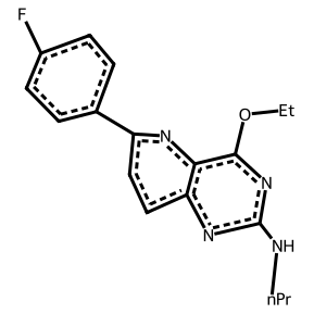 CCCNc1nc(OCC)c2nc(-c3ccc(F)cc3)ccc2n1